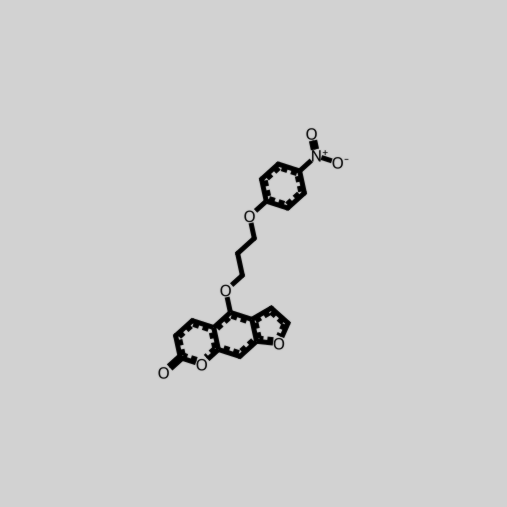 O=c1ccc2c(OCCCOc3ccc([N+](=O)[O-])cc3)c3ccoc3cc2o1